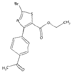 CCOC(=O)c1sc(Br)nc1-c1ccc(C(C)=O)cc1